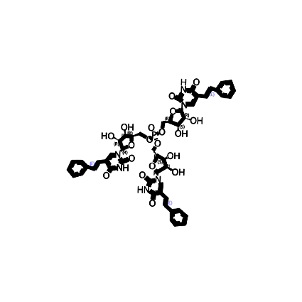 O=c1[nH]c(=O)n([C@@H]2O[C@H](COP(=O)(OC[C@H]3O[C@@H](n4cc(/C=C/c5ccccc5)c(=O)[nH]c4=O)[C@H](O)[C@@H]3O)OC[C@H]3O[C@@H](n4cc(/C=C/c5ccccc5)c(=O)[nH]c4=O)[C@H](O)[C@@H]3O)[C@@H](O)[C@H]2O)cc1/C=C/c1ccccc1